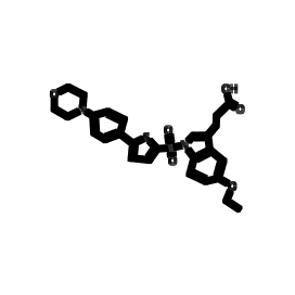 CCOc1ccc2c(c1)c(CCC(=O)O)cn2S(=O)(=O)c1ccc(-c2ccc(N3CCOCC3)cc2)s1